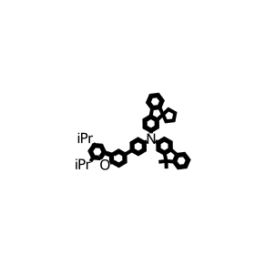 CC(C)c1cc(C(C)C)c2oc3ccc(-c4ccc(N(c5ccc6c(c5)C(C)(C)c5ccccc5-6)c5ccc6c(c5)C5(CCCC5)c5ccccc5-6)cc4)cc3c2c1